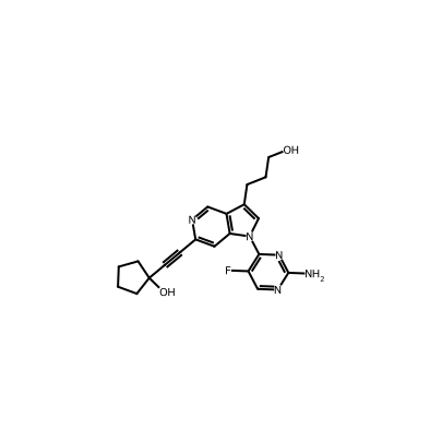 Nc1ncc(F)c(-n2cc(CCCO)c3cnc(C#CC4(O)CCCC4)cc32)n1